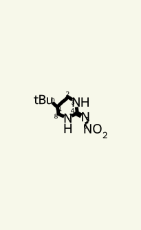 CC(C)(C)C1CNC(=N[N+](=O)[O-])NC1